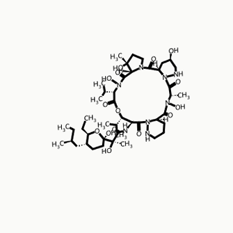 CC[C@H](C)C[C@H]1CC[C@](O)([C@](C)(O)C(=O)N[C@@H]2C(=O)N3NCCC[C@@H]3C(=O)N(O)[C@@H](C)C(=O)N3NC[C@H](O)C[C@@H]3C(=O)N3CC[C@@](C)(O)[C@H]3C(=O)N(O)[C@@H](C(C)C)C(=O)O[C@H]2C(C)C)O[C@@H]1CC